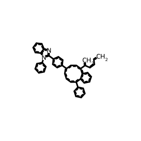 C=C/C=C\C(=C)c1ccc(-c2ccc(-c3nc4ccccc4n3-c3ccccc3)cc2)cccc(-c2ccccc2)c2ccccc12